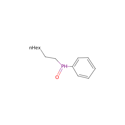 CCCCCCCC[PH](=O)c1ccccc1